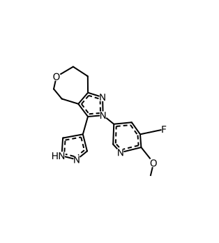 COc1ncc(-n2nc3c(c2-c2cn[nH]c2)CCOCC3)cc1F